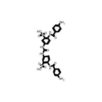 Nc1ccc(C(=O)Nc2ccc(NC(=O)Nc3ccc(NC(=O)c4ccc(N)cc4)c(S(=O)(=O)O)c3)cc2S(=O)(=O)O)cc1